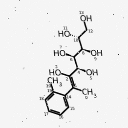 CC(=C(O)[C@H](O)[C@@H](O)[C@H](O)[C@H](O)CO)c1ccccc1C